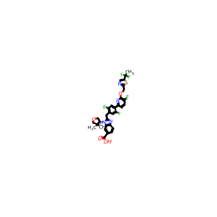 CC(F)(F)c1cnc(COc2nc(-c3cc(F)c(Cc4nc5ccc(C(=O)O)cc5n4[C@@H]4COCC4(C)C)cc3F)ccc2F)s1